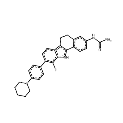 NC(=O)Nc1ccc2c(c1)CCc1c-2[nH]c2c(F)c(-c3ccc(N4CCCCC4)cc3)ccc12